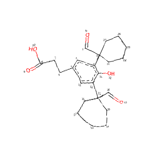 O=CC1(c2cc(CCC(=O)O)cc(C3(C=O)CCCCC3)c2O)CCCCC1